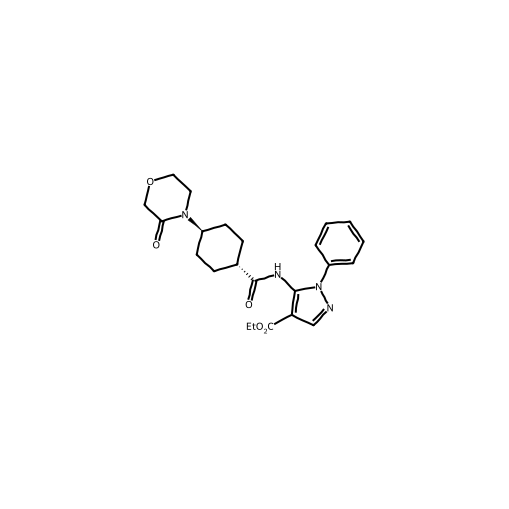 CCOC(=O)c1cnn(-c2ccccc2)c1NC(=O)[C@H]1CC[C@H](N2CCOCC2=O)CC1